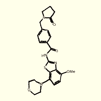 COc1ccc(N2CCOCC2)c2sc(NC(=O)c3ccc(CN4CCCC4=O)cc3)nc12